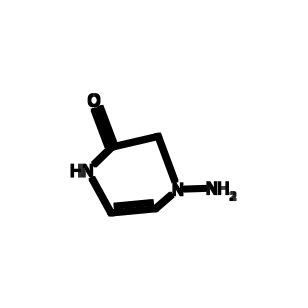 NN1C=CNC(=O)C1